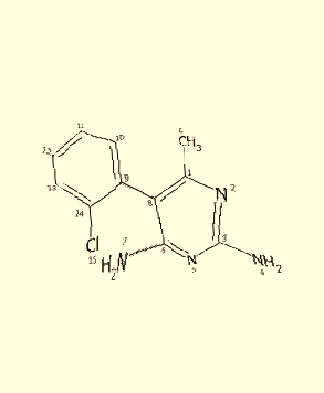 Cc1nc(N)nc(N)c1-c1ccccc1Cl